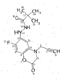 C#CCN1CC(=O)Oc2cc(F)c(NNC(=O)C(C)(C)C)cc21